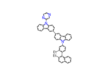 CCc1cc(-n2c3ccccc3c3cc(-c4ccc5c(c4)c4ccccc4n5-c4cnccn4)ccc32)ccc1-c1c(CC)ccc2ccccc12